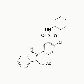 CC(=O)Cc1c(-c2ccc(Cl)c(S(=O)(=O)NC3CCCCC3)c2)[nH]c2ccccc12